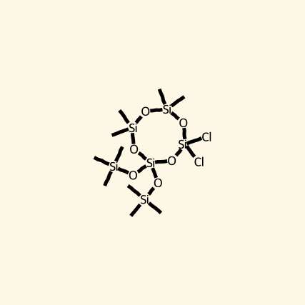 C[Si](C)(C)O[Si]1(O[Si](C)(C)C)O[Si](C)(C)O[Si](C)(C)O[Si](Cl)(Cl)O1